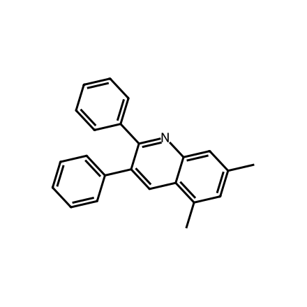 Cc1cc(C)c2cc(-c3ccccc3)c(-c3ccccc3)nc2c1